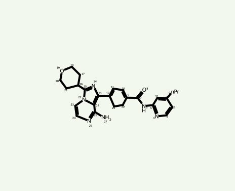 CCCc1ccnc(NC(=O)C2=CC=C(c3nc(C4CCOCC4)n4ccnc(N)c34)CC2)c1